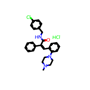 CN1CCN(c2ccccc2/C=C(\C(=O)NCc2ccc(Cl)cc2)c2ccccc2)CC1.Cl